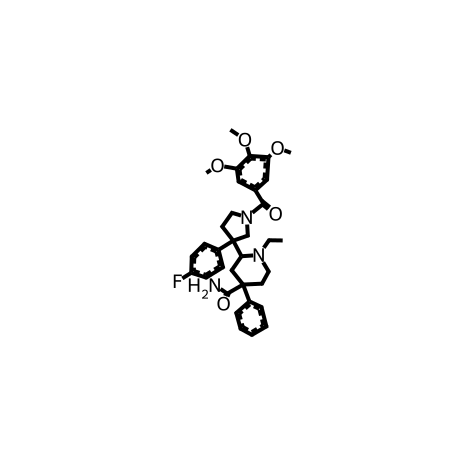 CCN1CCC(C(N)=O)(c2ccccc2)CC1C1(c2ccc(F)cc2)CCN(C(=O)c2cc(OC)c(OC)c(OC)c2)C1